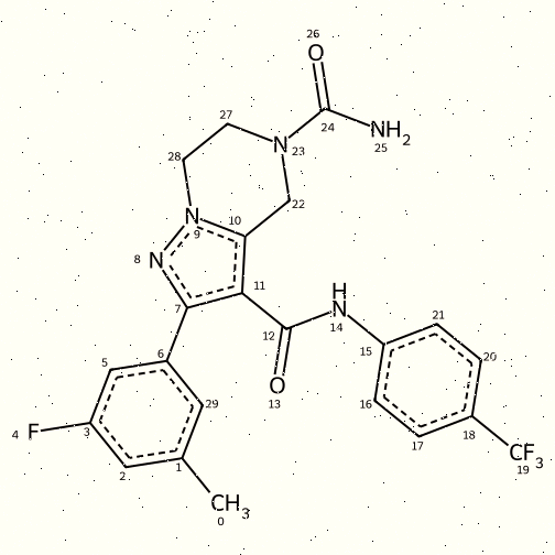 Cc1cc(F)cc(-c2nn3c(c2C(=O)Nc2ccc(C(F)(F)F)cc2)CN(C(N)=O)CC3)c1